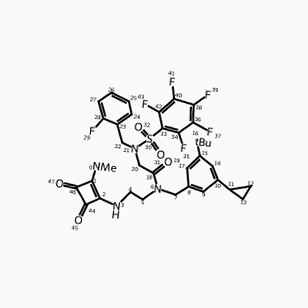 CNc1c(NCCN(Cc2cc(C3CC3)cc(C(C)(C)C)c2)C(=O)CN(Cc2ccccc2F)S(=O)(=O)c2c(F)c(F)c(F)c(F)c2F)c(=O)c1=O